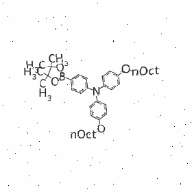 CCCCCCCCOc1ccc(N(c2ccc(OCCCCCCCC)cc2)c2ccc(B3OC(C)(C)C(C)(C)O3)cc2)cc1